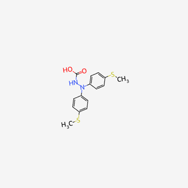 CSc1ccc(N(NC(=O)O)c2ccc(SC)cc2)cc1